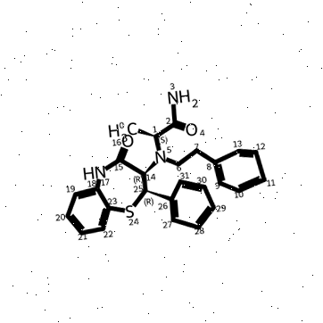 C[C@@H](C(N)=O)N(CCc1ccccc1)[C@@H]1C(=O)Nc2ccccc2S[C@@H]1c1ccccc1